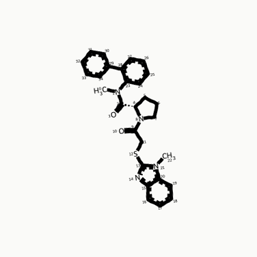 CN(C(=O)[C@@H]1CCCN1C(=O)CSc1nc2ccccc2n1C)c1ccccc1-c1ccccc1